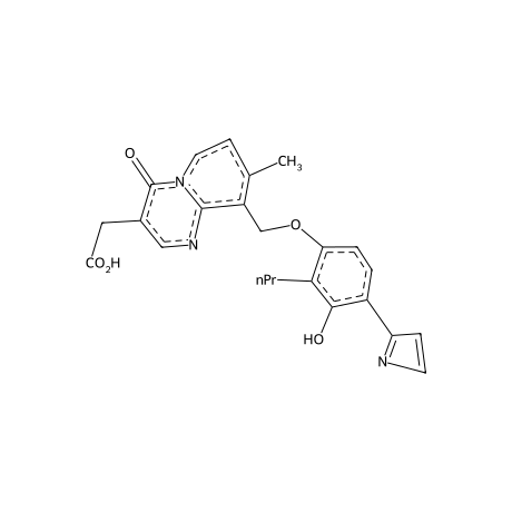 CCCc1c(OCc2c(C)ccn3c(=O)c(CC(=O)O)cnc23)ccc(C2=NC=C2)c1O